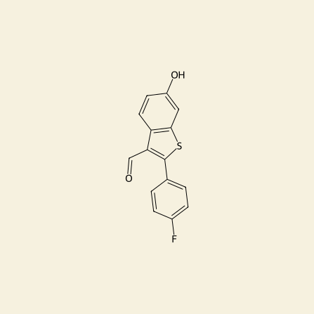 O=Cc1c(-c2ccc(F)cc2)sc2cc(O)ccc12